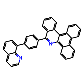 c1cnc2c(-c3ccc(-c4nc5c6ccccc6c6ccccc6c5c5ccccc45)cc3)cccc2c1